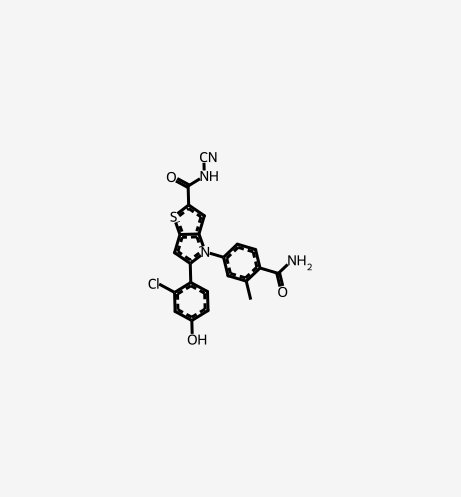 Cc1cc(-n2c(-c3ccc(O)cc3Cl)cc3sc(C(=O)NC#N)cc32)ccc1C(N)=O